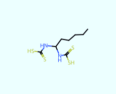 CCCCCC(NC(=S)S)NC(=S)S